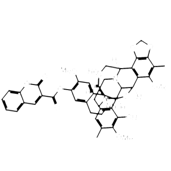 COc1cc2c(cc1OC(=O)c1cc3ccccc3oc1=O)CCN[C@]21CS[C@@H]2c3c(OC(C)=O)c(C)c4c(c3[C@H](COC1=O)N1C2[C@H]2c3c(cc(C)c(OC)c3O)C[C@@H]([C@@H]1O)N2C)OCO4